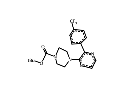 CC(C)(C)OC(=O)N1CCN(c2nccnc2-c2ccc(C(F)(F)F)cc2)CC1